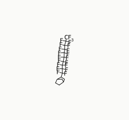 FC(F)(F)C(F)(F)C(F)(F)C(F)(F)C(F)(F)C(F)(F)C(F)(F)C(F)(F)C(F)(F)C(F)(F)C1CC2CCC1C2